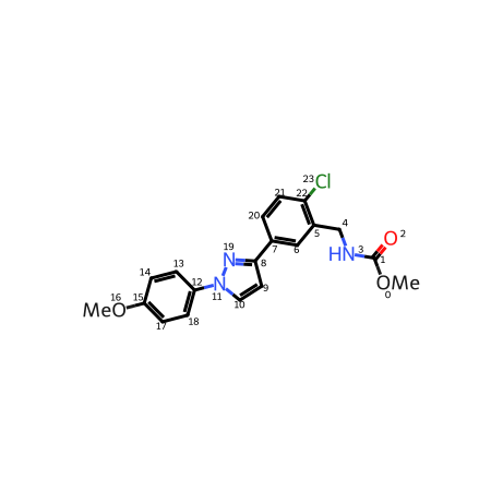 COC(=O)NCc1cc(-c2ccn(-c3ccc(OC)cc3)n2)ccc1Cl